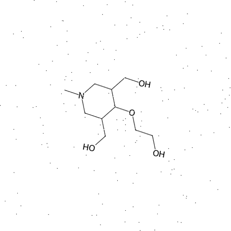 CN1CC(CO)C(OCCO)C(CO)C1